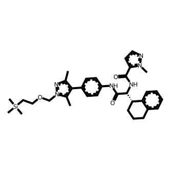 Cc1nn(COCC[Si](C)(C)C)c(C)c1-c1ccc(NC(=O)C(NC(=O)c2ccnn2C)[C@H]2CCCc3ccccc32)cc1